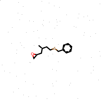 CC(CCSCc1ccccc1)CC1CO1